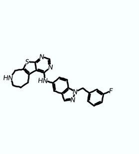 Fc1cccc(Cn2ncc3cc(Nc4ncnc5sc6c(c45)CCCNC6)ccc32)c1